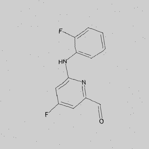 O=Cc1cc(F)cc(Nc2ccccc2F)n1